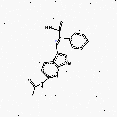 CC(=O)Nc1ccc2c(/C=C(/C(N)=O)c3ccccc3)c[nH]c2n1